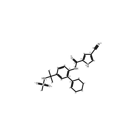 CC(C)(NS(C)(=O)=O)c1ccc(NC(=O)c2cc(C#N)c[nH]2)c(C2=CCCCC2)c1